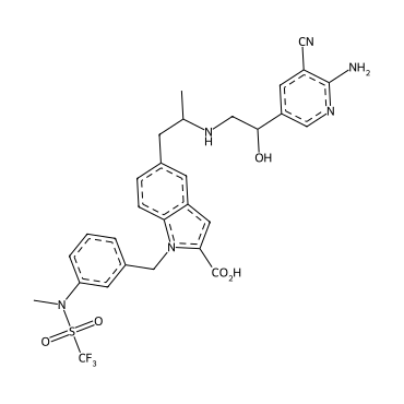 CC(Cc1ccc2c(c1)cc(C(=O)O)n2Cc1cccc(N(C)S(=O)(=O)C(F)(F)F)c1)NCC(O)c1cnc(N)c(C#N)c1